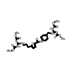 CC(C)(C)OC(=O)/N=C(\NCCCc1ccc(C(=O)Nc2ccc(CN/C(=N\C(=O)OC(C)(C)C)NC(=O)OC(C)(C)C)cc2)o1)NC(=O)OC(C)(C)C